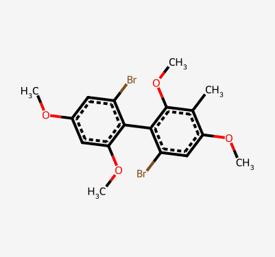 COc1cc(Br)c(-c2c(Br)cc(OC)c(C)c2OC)c(OC)c1